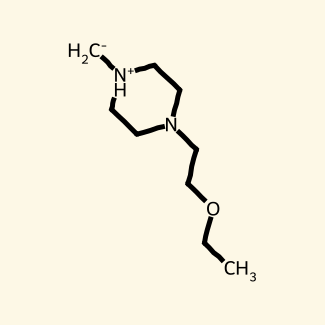 [CH2-][NH+]1CCN(CCOCC)CC1